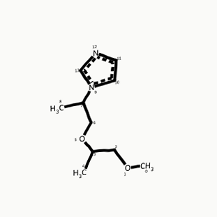 COCC(C)OCC(C)n1ccnc1